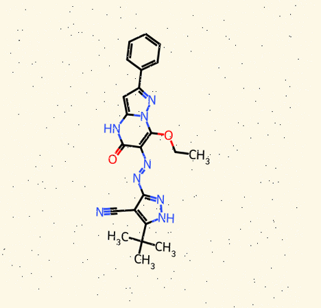 CCOc1c(/N=N/c2n[nH]c(C(C)(C)C)c2C#N)c(=O)[nH]c2cc(-c3ccccc3)nn12